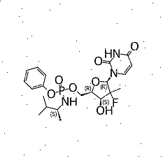 CC(C)[C@H](C)NP(=O)(OC[C@H]1O[C@@H](n2ccc(=O)[nH]c2=O)C(C)(F)[C@H]1O)Oc1ccccc1